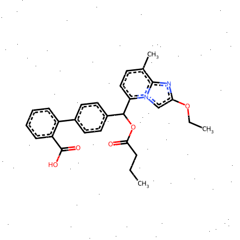 CCCC(=O)OC(c1ccc(-c2ccccc2C(=O)O)cc1)c1ccc(C)c2nc(OCC)cn12